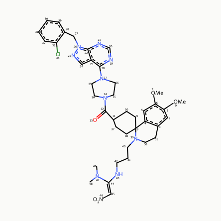 COc1cc2c(cc1OC)C1(CCC(C(=O)N3CCN(c4ncnc5c4cnn5Cc4ccccc4Cl)CC3)CC1)N(CCCNC(=C[N+](=O)[O-])N(C)C)CC2